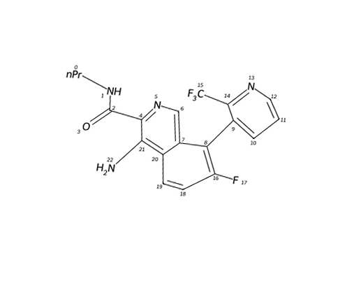 CCCNC(=O)c1ncc2c(-c3cccnc3C(F)(F)F)c(F)ccc2c1N